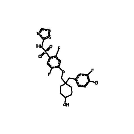 O=S(=O)(Nc1ncns1)c1cc(F)c(OCC2(Cc3ccc(Cl)c(F)c3)CCC(O)CC2)cc1F